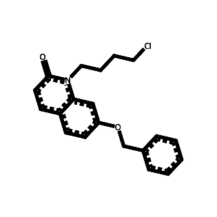 O=c1ccc2ccc(OCc3ccccc3)cc2n1CCCCCl